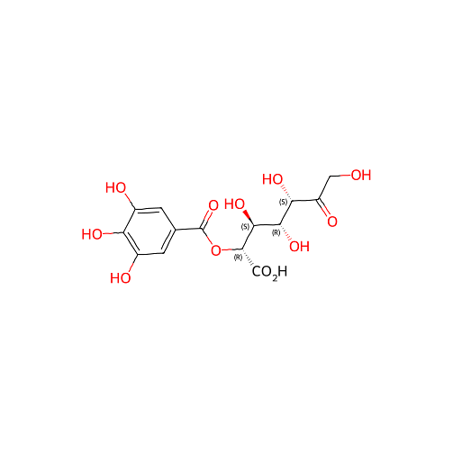 O=C(O[C@@H](C(=O)O)[C@@H](O)[C@@H](O)[C@H](O)C(=O)CO)c1cc(O)c(O)c(O)c1